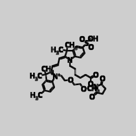 COCCOCC[N+]1=C(C=CC=C2N(CCCCCC(=O)ON3C(=O)CCC3=O)c3ccc(S(=O)(=O)O)cc3C2(C)C)C(C)(C)c2cc(C)ccc21